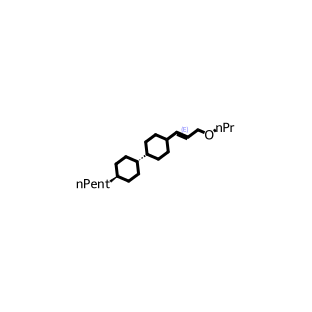 CCCCC[C@H]1CC[C@H](C2CCC(/C=C/COCCC)CC2)CC1